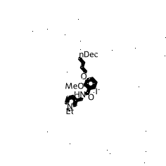 CCCCCCCCCCCCCCOc1cccc(C(=O)NCc2ccc[n+](CC)c2)c1OC.[I-]